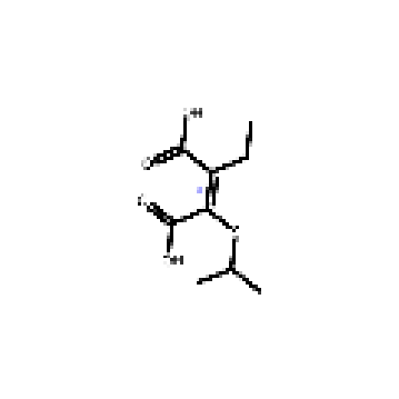 CC/C(C(=O)O)=C(\SC(C)C)C(=O)O